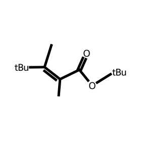 C/C(C(=O)OC(C)(C)C)=C(/C)C(C)(C)C